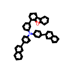 c1cc(-c2cccc3c2oc2ccccc23)cc(N(c2ccc(-c3ccc4ccccc4c3)cc2)c2ccc(-c3ccc4ccccc4c3)cc2)c1